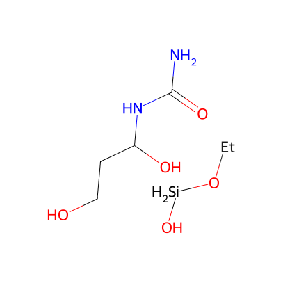 CCO[SiH2]O.NC(=O)NC(O)CCO